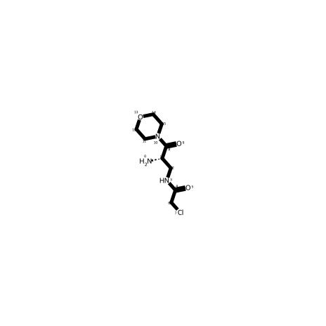 N[C@@H](CNC(=O)CCl)C(=O)N1CCOCC1